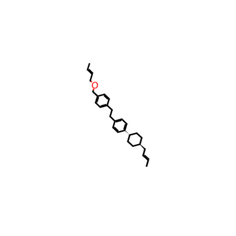 CC=CCOCc1ccc(CCc2ccc([C@H]3CC[C@H](CC=CC)CC3)cc2)cc1